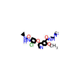 [C-]#[N+]CCNC(=O)c1cc2c(Oc3ccc(NC(=O)NC4CC4)c(Cl)c3)ccnc2cc1OC